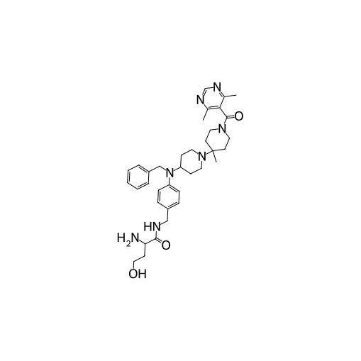 Cc1ncnc(C)c1C(=O)N1CCC(C)(N2CCC(N(Cc3ccccc3)c3ccc(CNC(=O)C(N)CCO)cc3)CC2)CC1